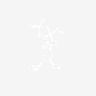 CCC(C)(C)CC(C)(C)NC(=O)CC(C)NC(=O)O